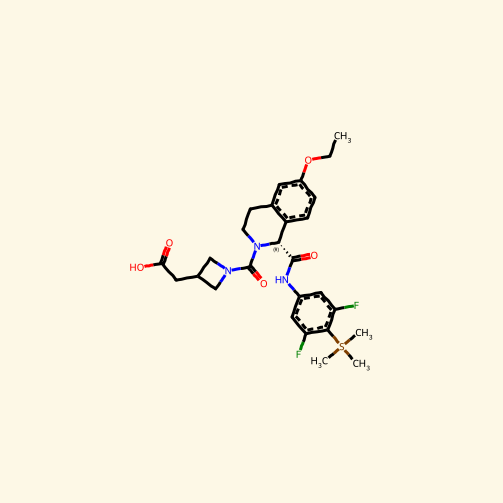 CCOc1ccc2c(c1)CCN(C(=O)N1CC(CC(=O)O)C1)[C@H]2C(=O)Nc1cc(F)c(S(C)(C)C)c(F)c1